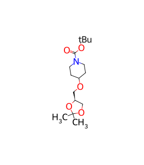 CC(C)(C)OC(=O)N1CCC(OC[C@H]2COC(C)(C)O2)CC1